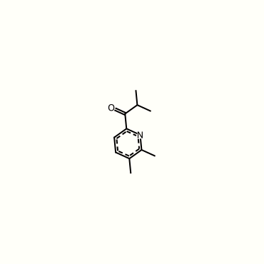 Cc1ccc(C(=O)C(C)C)nc1C